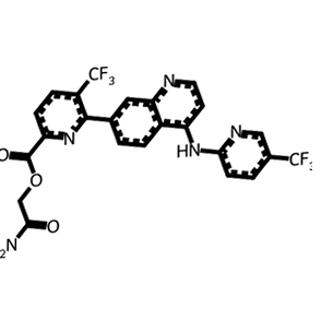 NC(=O)COC(=O)c1ccc(C(F)(F)F)c(-c2ccc3c(Nc4ccc(C(F)(F)F)cn4)ccnc3c2)n1